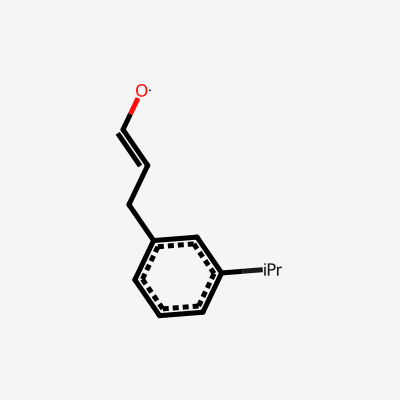 CC(C)c1cccc(CC=C[O])c1